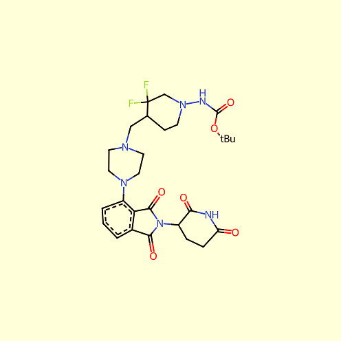 CC(C)(C)OC(=O)NN1CCC(CN2CCN(c3cccc4c3C(=O)N(C3CCC(=O)NC3=O)C4=O)CC2)C(F)(F)C1